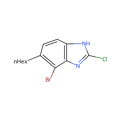 CCCCCCc1ccc2[nH]c(Cl)nc2c1Br